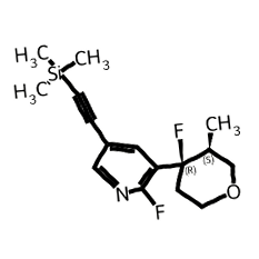 C[C@H]1COCC[C@]1(F)c1cc(C#C[Si](C)(C)C)cnc1F